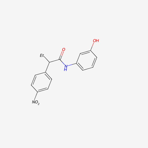 CCC(C(=O)Nc1cccc(O)c1)c1ccc([N+](=O)[O-])cc1